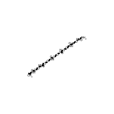 CCCCNC(=O)COCCOCCNC(=O)COCCOCCNC(=O)COCCOCCNC(=O)COCCOCCNC(=O)COCCOCCNC(=O)CN